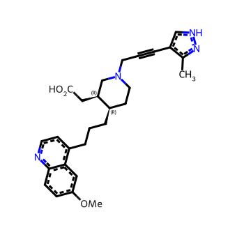 COc1ccc2nccc(CCC[C@@H]3CCN(CC#Cc4c[nH]nc4C)C[C@@H]3CC(=O)O)c2c1